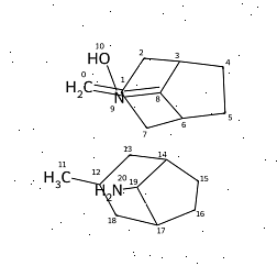 C=C1CC2CCC(C1)C2=NO.CC1CC2CCC(C1)C2N